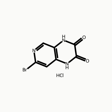 Cl.O=c1[nH]c2cnc(Br)cc2[nH]c1=O